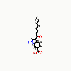 CCCCCCCC(=O)c1c[nH]c2cc(C(=O)O)ccc12